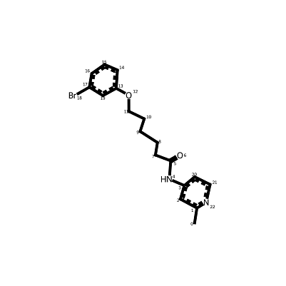 Cc1cc(NC(=O)CCCCCOc2cccc(Br)c2)ccn1